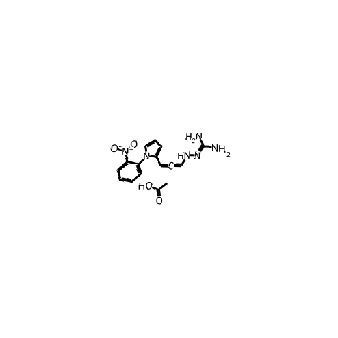 CC(=O)O.NC(N)=NNC=C=Cc1cccn1-c1ccccc1[N+](=O)[O-]